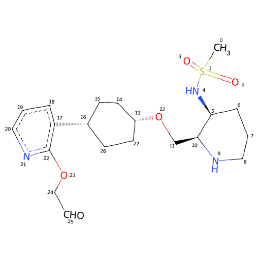 CS(=O)(=O)N[C@H]1CCCN[C@H]1CO[C@H]1CC[C@@H](c2cccnc2OCC=O)CC1